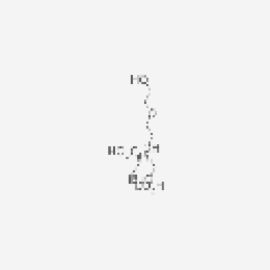 CC(C)COCC(C)C.O=C(O)CCC(=O)O.OCCOCCO